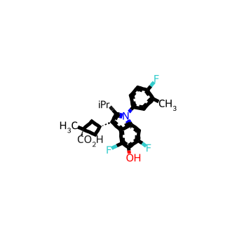 Cc1cc(-n2c(C(C)C)c([C@H]3C[C@@](C)(C(=O)O)C3)c3c(F)c(O)c(F)cc32)ccc1F